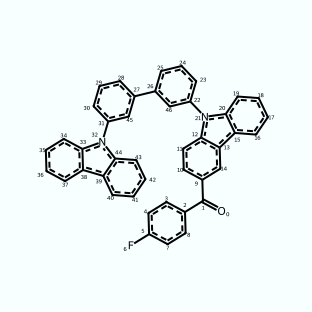 O=C(c1ccc(F)cc1)c1ccc2c(c1)c1ccccc1n2-c1cccc(-c2cccc(-n3c4ccccc4c4ccccc43)c2)c1